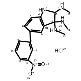 CNC1Nc2ccc(-c3cccc([N+](=O)[O-])c3)cc2C1(NC)NC.Cl